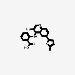 Cc1ccc(-c2ccc3ncc(S)c(Nc4ccccc4C(=O)O)c3c2)s1